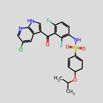 CC(C)OC1C=CC(S(=O)(=O)Nc2ccc(F)c(C(=O)c3c[nH]c4ncc(Cl)cc34)c2F)=CC1